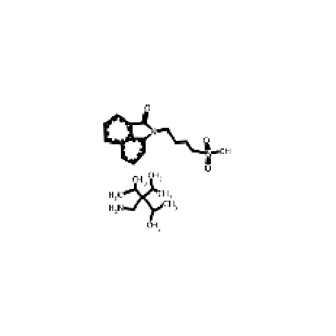 CC(C)C(CN)(C(C)C)C(C)C.O=C1c2cccc3cccc(c23)N1CCCCS(=O)(=O)O